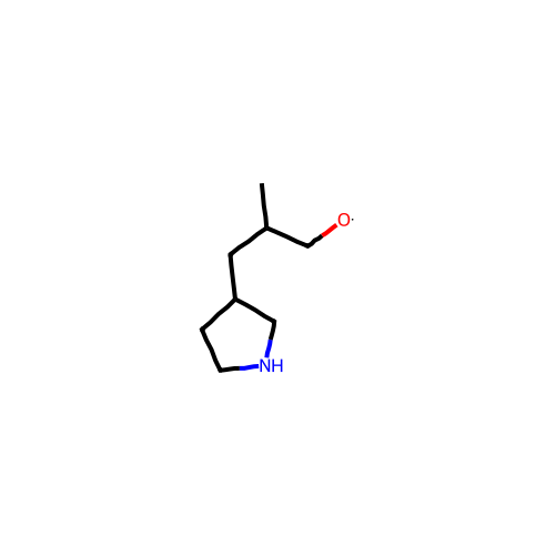 CC(C[O])CC1CCNC1